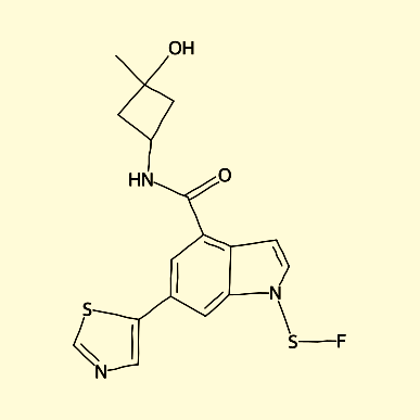 CC1(O)CC(NC(=O)c2cc(-c3cncs3)cc3c2ccn3SF)C1